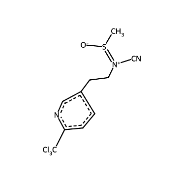 CS([O-])=[N+](C#N)CCc1ccc(C(Cl)(Cl)Cl)nc1